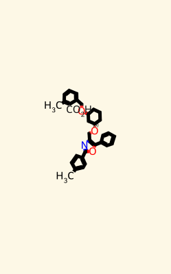 Cc1ccc(-c2nc(CO[C@H]3CCCC(OCc4cccc(C)c4C(=O)O)C3)c(-c3ccccc3)o2)cc1